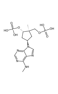 CNc1ncnc2c1ncn2[C@H]1C[C@H](OP(=O)(O)O)[C@@](C)(COP(=O)(O)O)C1